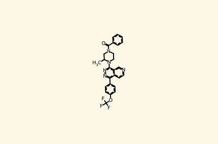 CC1CN(C(=O)c2ccccc2)CCN1c1nnc(-c2ccc(OC(F)(F)F)cc2)c2ccncc12